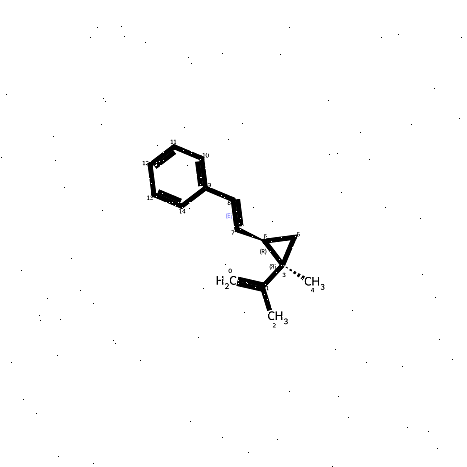 C=C(C)[C@]1(C)C[C@@H]1/C=C/c1ccccc1